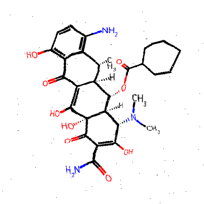 C[C@H]1c2c(N)ccc(O)c2C(=O)C2=C(O)[C@]3(O)C(=O)C(C(N)=O)=C(O)[C@@H](N(C)C)[C@@H]3[C@@H](OC(=O)C3CCCCC3)[C@@H]21